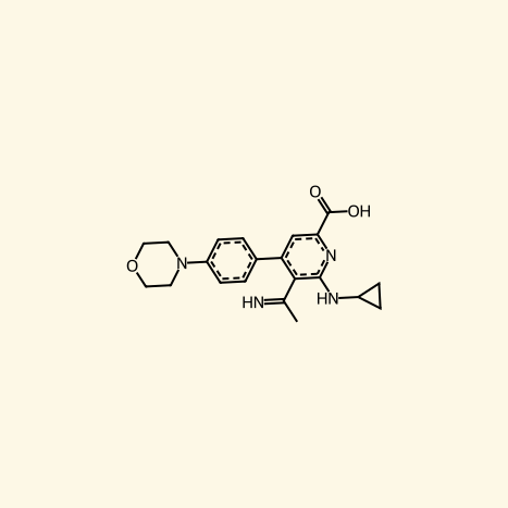 CC(=N)c1c(-c2ccc(N3CCOCC3)cc2)cc(C(=O)O)nc1NC1CC1